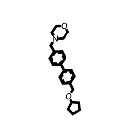 c1cc(-c2ccc(CN3CCOCC3)cc2)ccc1COC1CCCC1